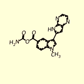 Cn1cc(-c2cc3nccnc3[nH]2)c2cc(C(=O)OC(N)=O)ccc21